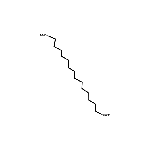 CCCCCCCCCCCCCCCCCCCCCCCCSC